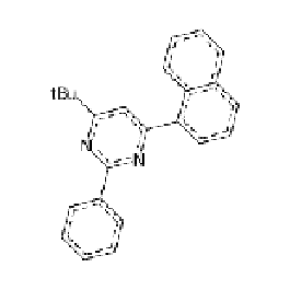 CC(C)(C)c1cc(-c2cccc3ccccc23)nc(-c2ccccc2)n1